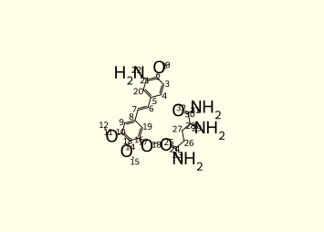 COc1ccc(C=Cc2cc(OC)c(OC)c(OC)c2)cc1N.NC(=O)CC[C@H](N)C(N)=O